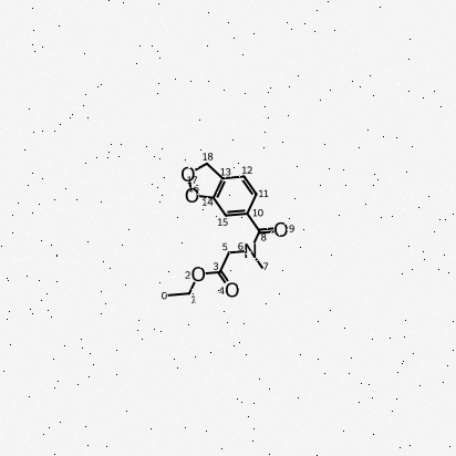 CCOC(=O)CN(C)C(=O)c1ccc2c(c1)OOC2